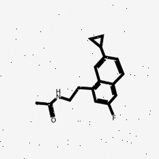 CC(=O)NCCc1cc(F)cc2ccc(C3CC3)cc12